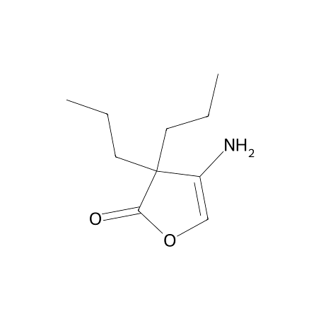 CCCC1(CCC)C(=O)OC=C1N